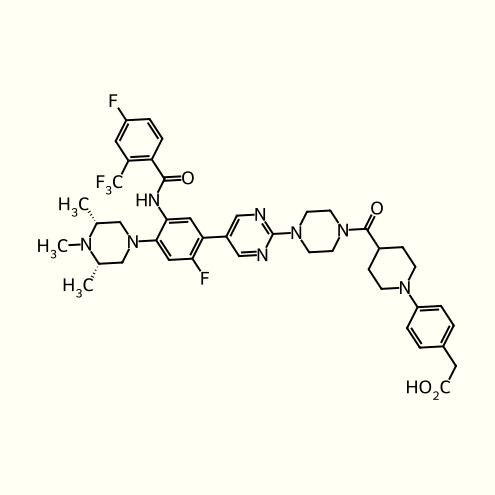 C[C@@H]1CN(c2cc(F)c(-c3cnc(N4CCN(C(=O)C5CCN(c6ccc(CC(=O)O)cc6)CC5)CC4)nc3)cc2NC(=O)c2ccc(F)cc2C(F)(F)F)C[C@H](C)N1C